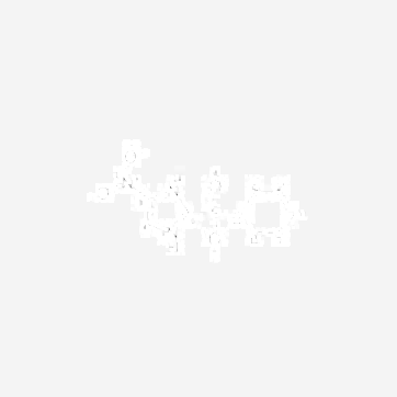 O=[N+]([O-])c1c[nH]c(S(=O)(=O)c2ccccc2)n1